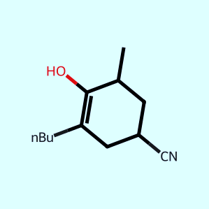 CCCCC1=C(O)C(C)CC(C#N)C1